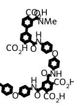 CNC(=O)c1cc(-c2ccc(C(=O)O)c(C(=O)Nc3ccc(Oc4ccc(NC(=O)c5cc(C(=O)Nc6ccc(Oc7ccc(C)cc7)cc6)c(C(=O)O)cc5C(=O)O)cc4)cc3)c2)ccc1C(=O)O